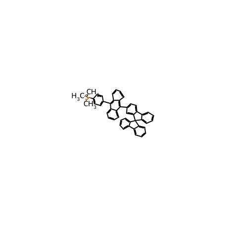 CS(C)(C)c1ccc(-c2c3ccccc3c(-c3ccc4c(c3)C3(c5ccccc5-c5ccccc53)c3ccccc3-4)c3ccccc23)cc1